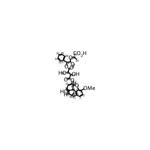 COc1ccc2c3c1O[C@@H]1C(OC(=O)[C@H](O)[C@@H](O)C(=O)O[C@H](C(=O)O[C@@H](C)C(=O)O)c4ccccc4)=CC[C@]4(O)[C@@H](CCC[C@@]314)C2